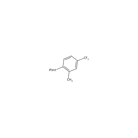 CCCC(C)c1ccc(C(F)(F)F)cc1C